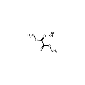 O=C([O][AlH2])C(=O)[O][AlH2].[KH].[KH]